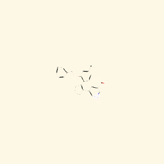 O=C(O)c1cc(C2=C(c3ccc(C(F)(F)F)cc3OCc3ccccc3)CCC2)c[n+]([O-])c1